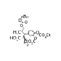 CCCCOC(=O)OCC(C)C(c1ccc(OC(=O)OCC)c(OC(=O)OCC)c1)[C@H](N)C(=O)O